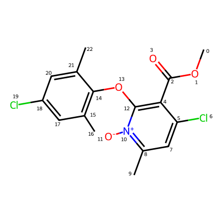 COC(=O)c1c(Cl)cc(C)[n+]([O-])c1Oc1c(C)cc(Cl)cc1C